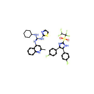 Cc1cc(/N=C(\Nc2nccs2)NC2CCCCC2)c2ccccc2n1.O=S(=O)(c1nc(-c2ccc(F)cc2)c(-c2ccc(F)cc2)[nH]1)C(F)(F)C(F)F